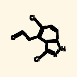 O=CCc1c(Cl)ccc2[nH]nc(Cl)c12